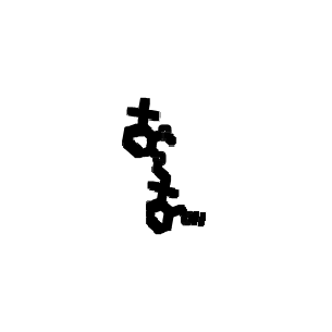 COc1c(OCCC(C)(C)c2ccccc2CO)cccc1C(C)(C)C